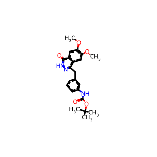 COc1cc2c(Cc3cccc(NC(=O)OC(C)(C)C)c3)n[nH]c(=O)c2cc1OC